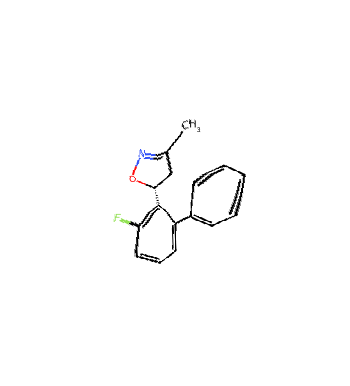 CC1=NO[C@@H](c2c(F)cccc2-c2ccccc2)C1